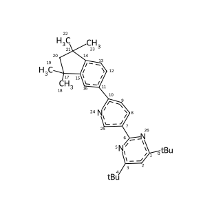 CC(C)(C)c1cc(C(C)(C)C)nc(-c2ccc(-c3ccc4c(c3)C(C)(C)CC4(C)C)nc2)n1